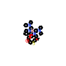 CC(C)(C)c1ccc(N2c3cc(N(c4ccccc4)c4ccccc4)ccc3B3c4ccc(N(c5ccccc5)c5ccccc5)cc4N(c4cccc5c4C(C)(C)CCC5(C)C)c4cc(-c5ccc6oc7ccc8sc9ccccc9c8c7c6c5)cc2c43)c(-c2ccccc2)c1